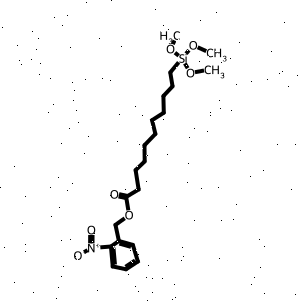 CO[Si](CCCCCCCCCCC(=O)OCc1ccccc1[N+](=O)[O-])(OC)OC